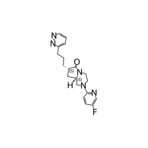 O=C1[C@@H](CCCc2cccnn2)C[C@H]2CN(c3ccc(F)cn3)CCN12